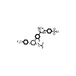 CCS(=O)(=O)c1ccc([C@@H](CC#N)NC(=O)c2ccc(N3C[C@@H](c4ccc(C(F)(F)F)cc4)CC[C@H]3COC(F)F)c(F)c2)cc1